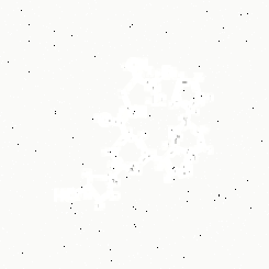 CCN(CC)C(C)CNC(=O)c1cc(-c2cnn3ccc(-c4cccs4)nc23)nc(N2CCC(O)C2)c1